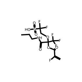 C=C(F)C(=O)OC(OCC(F)(F)S(=O)(=O)O)(C(=O)NCCC)C(F)(F)F